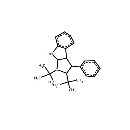 CC(C)(C)C1C(c2ccccc2)C2c3ccccc3NC2N1C(C)(C)C